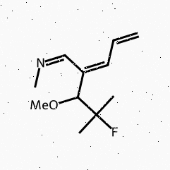 C=C/C=C(\C=N/C)C(OC)C(C)(C)F